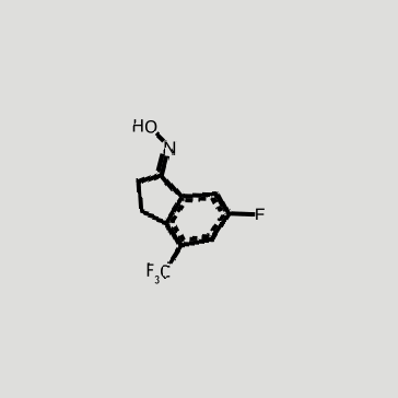 ON=C1CCc2c1cc(F)cc2C(F)(F)F